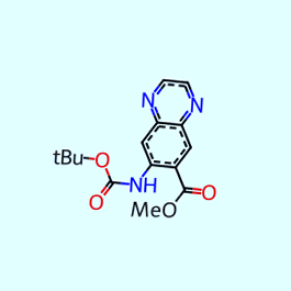 COC(=O)c1cc2nccnc2cc1NC(=O)OC(C)(C)C